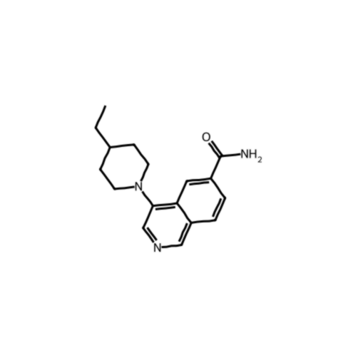 CCC1CCN(c2cncc3ccc(C(N)=O)cc23)CC1